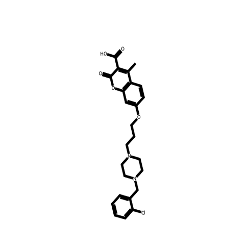 Cc1c(C(=O)O)c(=O)oc2cc(OCCCN3CCN(Cc4ccccc4Cl)CC3)ccc12